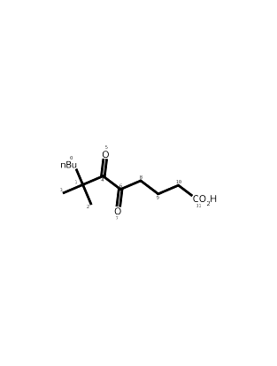 CCCCC(C)(C)C(=O)C(=O)C[CH]CC(=O)O